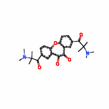 CN(C)C(C)(C)C(=O)c1ccc2oc3ccc(C(=O)C(C)(C)N(C)C)cc3c(=O)c(=O)c2c1